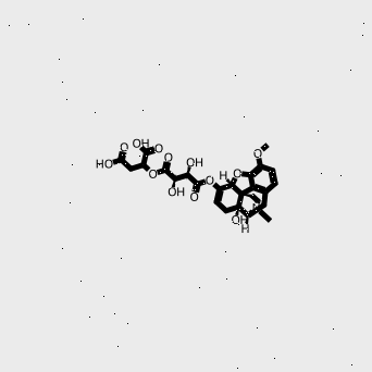 COc1ccc2c3c1O[C@H]1C(OC(=O)[C@H](O)[C@@H](O)C(=O)OC(CC(=O)O)C(=O)O)=CC[C@@]4(O)[C@@H](C2)N(C)CC[C@]314